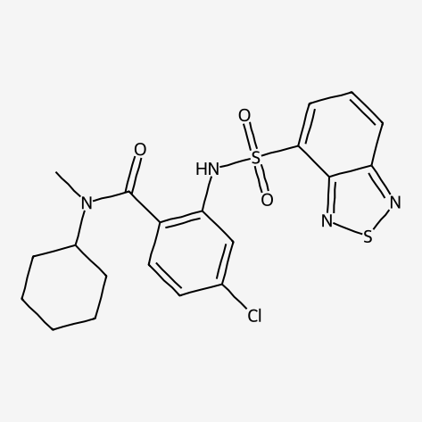 CN(C(=O)c1ccc(Cl)cc1NS(=O)(=O)c1cccc2nsnc12)C1CCCCC1